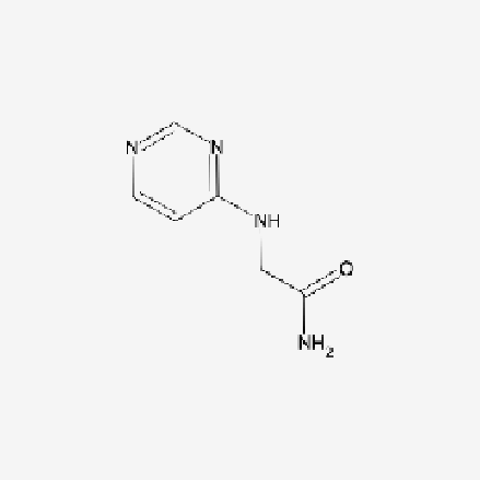 NC(=O)CNc1ccncn1